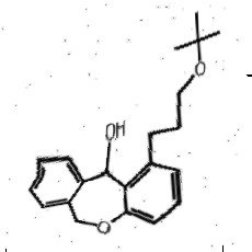 CC(C)(C)OCCCc1cccc2c1C(O)c1ccccc1CO2